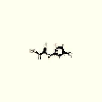 CC(C)(C)NC(=O)Oc1cc(Br)cs1